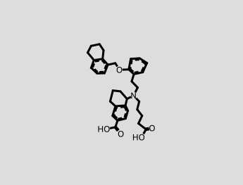 O=C(O)CCCCN(CCc1ccccc1OCc1cccc2c1CCCC2)C1CCCc2cc(C(=O)O)ccc21